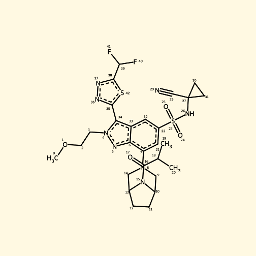 COCCn1nc2c(N3CC4CCC(C3)N4C(=O)C(C)C)cc(S(=O)(=O)NC3(C#N)CC3)cc2c1-c1nnc(C(F)F)s1